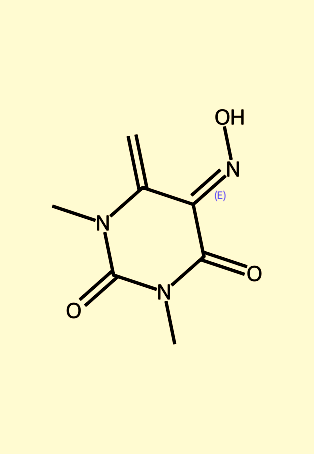 C=C1/C(=N\O)C(=O)N(C)C(=O)N1C